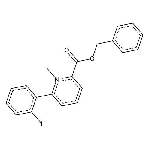 C[n+]1c(C(=O)OCc2ccccc2)cccc1-c1ccccc1I